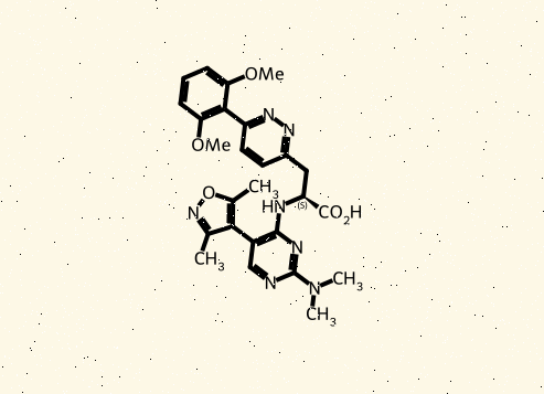 COc1cccc(OC)c1-c1ccc(C[C@H](Nc2nc(N(C)C)ncc2-c2c(C)noc2C)C(=O)O)nn1